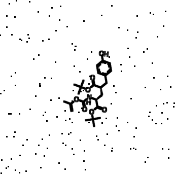 C=C(C)OC(=O)N[C@@H](C[C@H](Cc1ccc(O)cc1)C(=O)OC(C)(C)C)C(=O)OC(C)(C)C